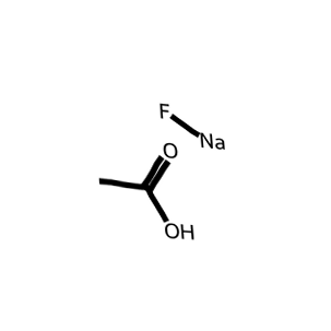 CC(=O)O.[F][Na]